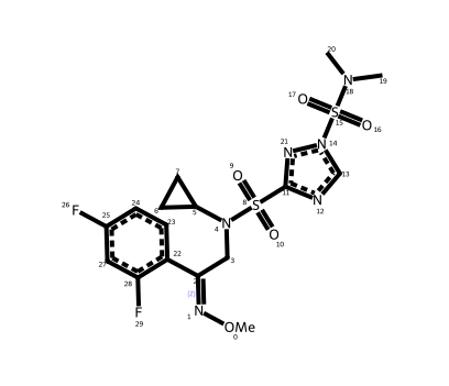 CO/N=C(\CN(C1CC1)S(=O)(=O)c1ncn(S(=O)(=O)N(C)C)n1)c1ccc(F)cc1F